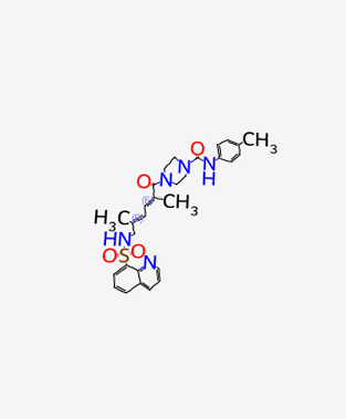 C/C(=C\C=C(/C)C(=O)N1CCN(C(=O)Nc2ccc(C)cc2)CC1)CNS(=O)(=O)c1cccc2cccnc12